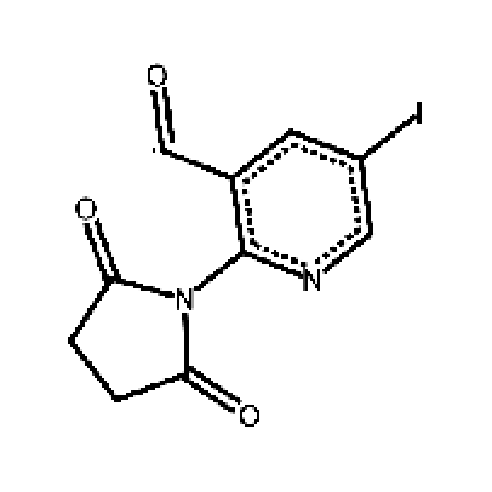 O=[C]c1cc(I)cnc1N1C(=O)CCC1=O